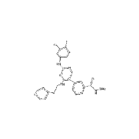 CONC(=O)c1cncc(-c2cnc(Nc3ccc(F)c(Cl)c3)nc2NCCc2ccncc2)c1